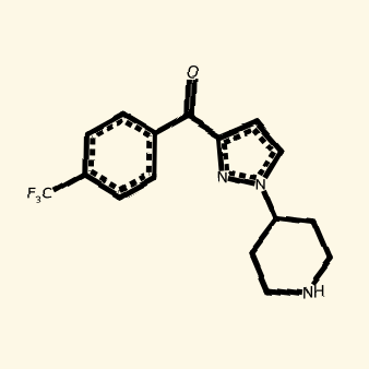 O=C(c1ccc(C(F)(F)F)cc1)c1ccn(C2CCNCC2)n1